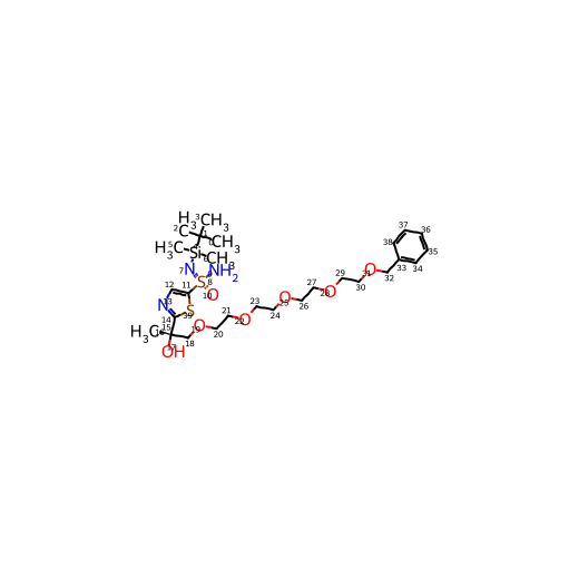 CC(C)(C)[Si](C)(C)N=S(N)(=O)c1cnc([C@@](C)(O)COCCOCCOCCOCCOCc2ccccc2)s1